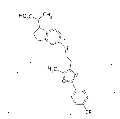 Cc1oc(-c2ccc(C(F)(F)F)cc2)nc1CCOc1ccc2c(c1)CCC2C(C)C(=O)O